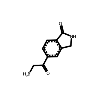 BCC(=O)c1ccc2c(c1)CNC2=O